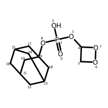 O=P(O)(OC1COO1)OC12CC3CC(CC(C3)C1)C2